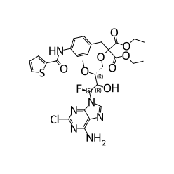 CCOC(=O)C(Cc1ccc(NC(=O)c2cccs2)cc1)(OC[C@@H](OC)[C@@H](O)[C@H](F)n1cnc2c(N)nc(Cl)nc21)C(=O)OCC